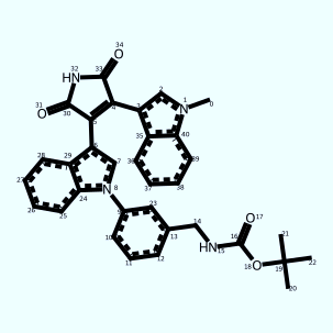 Cn1cc(C2=C(c3cn(-c4cccc(CNC(=O)OC(C)(C)C)c4)c4ccccc34)C(=O)NC2=O)c2ccccc21